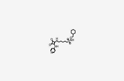 O=c1c(NCCCCCS(=O)(=O)NOCC2CCCCC2)c(Nc2ccncc2)c1=O